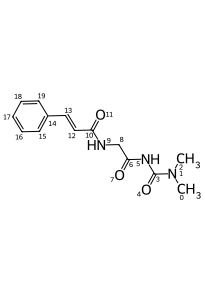 CN(C)C(=O)NC(=O)CNC(=O)C=Cc1ccccc1